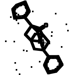 [N-]=[N+]1C23CC4(c5ccccc5)CC1(CC(c1ccccc1)(C2)C4=O)C3